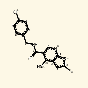 O=C(NCc1ccc(Cl)cc1)c1cnc2sc(I)cc2c1S